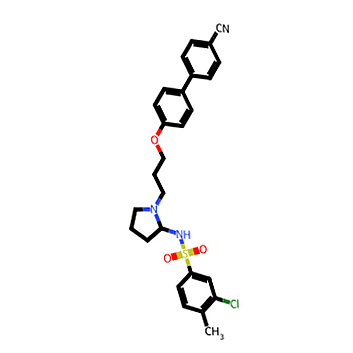 Cc1ccc(S(=O)(=O)NC2CCCN2CCCOc2ccc(-c3ccc(C#N)cc3)cc2)cc1Cl